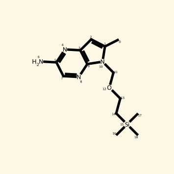 Cc1cc2nc(N)cnc2n1COCC[Si](C)(C)C